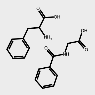 NC(Cc1ccccc1)C(=O)O.O=C(O)CNC(=O)c1ccccc1